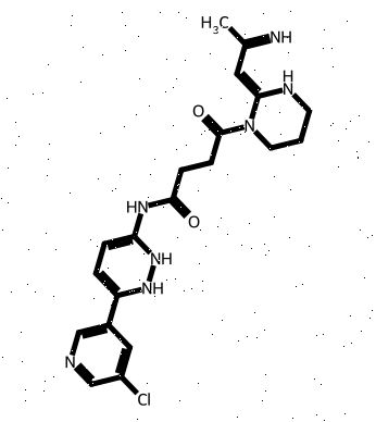 CC(=N)/C=C1\NCCCN1C(=O)CCC(=O)NC1=CC=C(c2cncc(Cl)c2)NN1